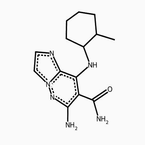 CC1CCCCC1Nc1c(C(N)=O)c(N)nn2ccnc12